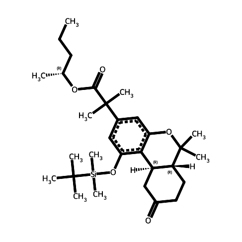 CCC[C@@H](C)OC(=O)C(C)(C)c1cc2c(c(O[Si](C)(C)C(C)(C)C)c1)[C@@H]1CC(=O)CC[C@H]1C(C)(C)O2